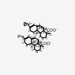 CC(C)C1=CC2=CC[C@@H]3[C@](C)(CCC[C@@]3(C)C(=O)[O-])[C@H]2CC1.CC(C)C1=CC2=CC[C@@H]3[C@](C)(CCC[C@@]3(C)C(=O)[O-])[C@H]2CC1.[Zn+2]